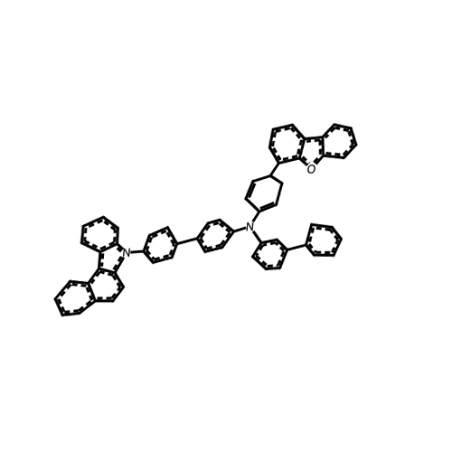 C1=CC(c2cccc3c2oc2ccccc23)CC=C1N(c1ccc(-c2ccc(-n3c4ccccc4c4c5ccccc5ccc43)cc2)cc1)c1cccc(-c2ccccc2)c1